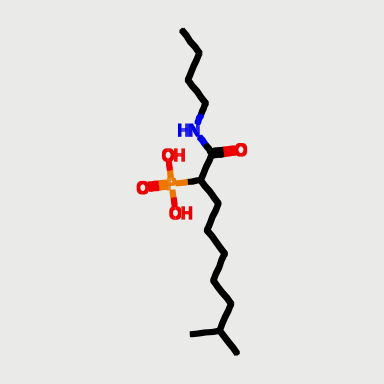 CCCCNC(=O)C(CCCCCC(C)C)P(=O)(O)O